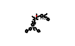 C=C/C=C(\C(O)=C\c1ccccc1)c1ccc(/C=C/C(/C=C/C)=C(\C=C)N(/C=C/C)C(=C)/C=C2\C(=C)c3ccc(N(C(/C=C\Cc4ccccc4)=C/C)c4ccc(-c5ccccc5)cc4)cc3C2(C)C)cc1